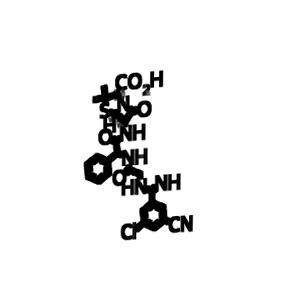 CC1(C)S[C@@H]2[C@H](NC(=O)C(NC(=O)CNC(=N)c3cc(Cl)cc(C#N)c3)c3ccccc3)C(=O)N2[C@H]1C(=O)O